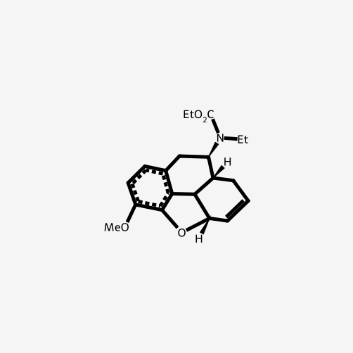 CCOC(=O)N(CC)[C@@H]1Cc2ccc(OC)c3c2C2[C@H](C=CC[C@H]21)O3